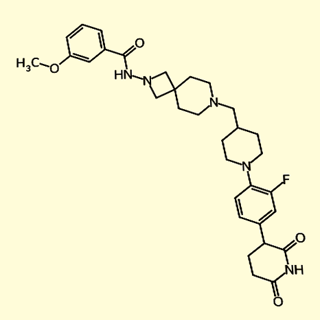 COc1cccc(C(=O)NN2CC3(CCN(CC4CCN(c5ccc(C6CCC(=O)NC6=O)cc5F)CC4)CC3)C2)c1